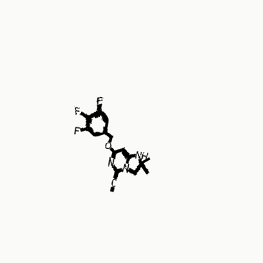 C=C=C1N=C(OCc2cc(F)c(F)c(F)c2)C=C2NC(C)(C)CN12